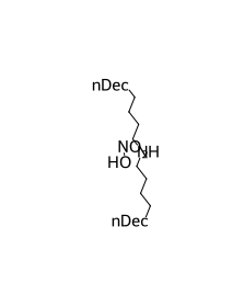 CCCCCCCCCCCCCCNCCCCCCCCCCCCCC.O=[N+]([O-])O